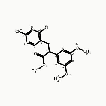 COC(=O)C(Cc1cnc(Cl)nc1Cl)c1cc(OC)cc(OC)c1